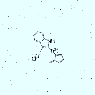 C=C1C=CC=[C]1[Ti+2][c]1[nH]c2ccccc2c1C.[Cl-].[Cl-]